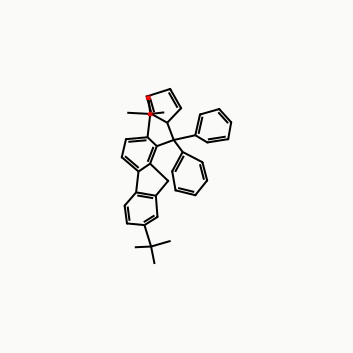 CC(C)(C)c1ccc2c(c1)Cc1c-2ccc(C(C)(C)C)c1C(c1ccccc1)(c1ccccc1)C1C=CC=C1